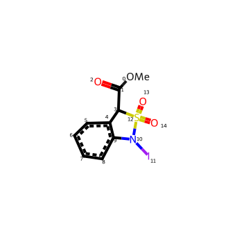 COC(=O)C1c2ccccc2N(I)S1(=O)=O